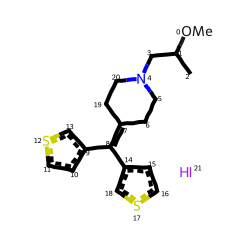 COC(C)CN1CCC(=C(c2ccsc2)c2ccsc2)CC1.I